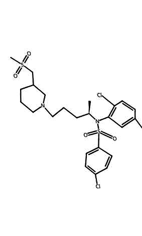 C[C@H](CCCN1CCCC(CS(C)(=O)=O)C1)N(c1cc(Cl)ccc1Cl)S(=O)(=O)c1ccc(Cl)cc1